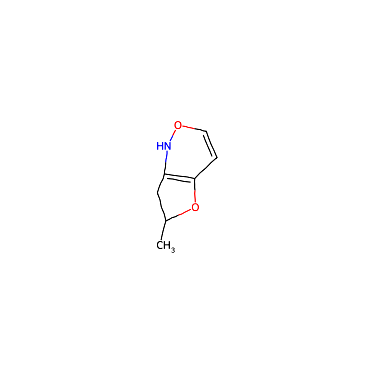 CC1CC2=C(C=CON2)O1